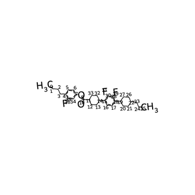 CCCCc1ccc(OC(=O)C2CCC(c3ccc(C4CCC(CCC)CC4)c(F)c3F)CC2)cc1F